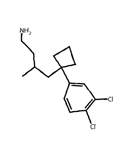 CC(CCN)CC1(c2ccc(Cl)c(Cl)c2)CCC1